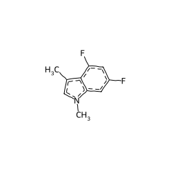 Cc1cn(C)c2cc(F)cc(F)c12